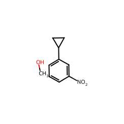 CO.O=[N+]([O-])c1cccc(C2CC2)c1